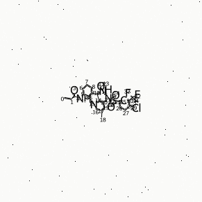 C=CC(=O)Nc1cccc(/C(=N\OC)c2ncc(C)cc2NS(=O)(=O)c2ccc(Cl)c(C(F)(F)F)c2)c1